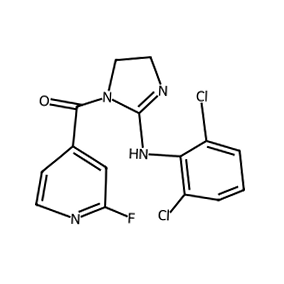 O=C(c1ccnc(F)c1)N1CCN=C1Nc1c(Cl)cccc1Cl